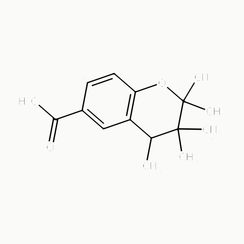 CC(=O)c1ccc2c(c1)C(C)C(C)(C)C(C)(C)O2